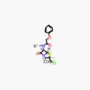 C[C@@]1(CCl)S[C@@H]2[C@H](NC(=O)COc3ccccc3)C(=O)N2[C@H]1C(=O)[O-].[K+]